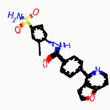 Cc1cc(S(N)(=O)=O)ccc1NC(=O)c1ccc(-c2nccc3occc23)cc1